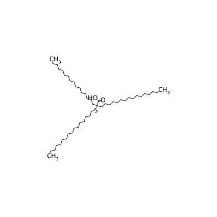 CCCCCCCCCCCCCCCCSC(CCCCCCCCCCCCCCCC)(CCCCCCCCCCCCCCCC)C(=O)O